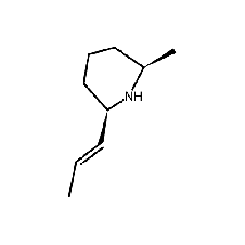 C/C=C/[C@H]1CCC[C@@H](C)N1